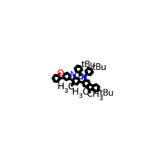 Cc1cc2c3c4c1c1cc5c(cc1n4-c1ccc(C(C)(C)C)cc1B3N(c1ccc(C(C)(C)C)cc1)c1cc3c(cc1-2)C(C)(C)c1cc(C(C)(C)C)ccc1-3)oc1ccccc15